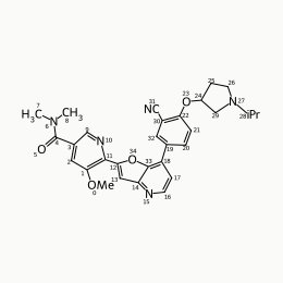 COc1cc(C(=O)N(C)C)cnc1-c1cc2nccc(-c3ccc(OC4CCN(C(C)C)C4)c(C#N)c3)c2o1